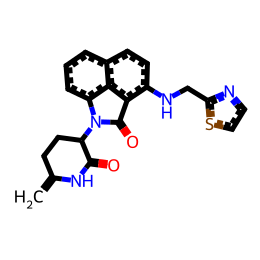 C=C1CCC(N2C(=O)c3c(NCc4nccs4)ccc4cccc2c34)C(=O)N1